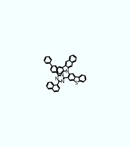 c1ccc(-c2ccc(-c3nc(-c4cc5sc6ccccc6c5cc4-n4c5ccccc5c5cc6ccccc6cc54)nc(-c4cccc5ccccc45)n3)cc2)cc1